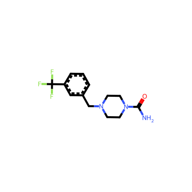 NC(=O)N1CCN(Cc2cccc(C(F)(F)F)c2)CC1